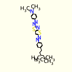 CCN(CC)c1ccc(/N=N/c2nc3sc(/N=N/c4ccc(CCC(C)CC(C)(C)C)cc4)cc3s2)cc1